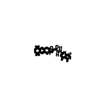 Cc1cc(NNC(=O)c2ccc(Cc3cc4c(cc3C(C)C)C(C)(C)CCC4(C)C)o2)nc2c1c(C)nn2C